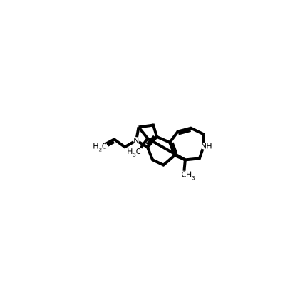 C=CCN1C2=C3CC1C(C)C1(C)CNC/C=C\C3=C1CC2